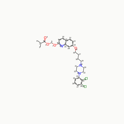 CC(C)C(=O)OCOc1ccc2ccc(OCCCCN3CCN(c4cccc(Cl)c4Cl)CC3)cc2n1